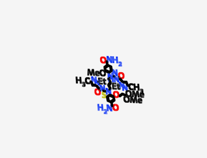 CCn1nc(C)cc1C(=O)/N=c1\sc2cc(C(N)=O)cc(OCCC(OC)OC)c2n1C/C=C/Cn1c(NC(=O)c2cc(C)nn2CC)nc2cc(C(N)=O)cc(OC)c21